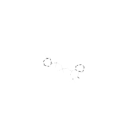 Cc1cc(C)c(O)c(C(C)(C)CC(O)(CN2CC(C)(C)C(=O)c3ccccc32)C(F)(F)F)c1